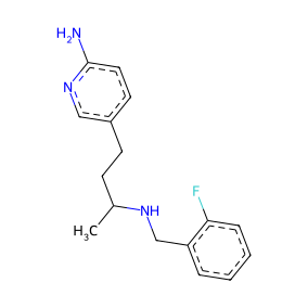 CC(CCc1ccc(N)nc1)NCc1ccccc1F